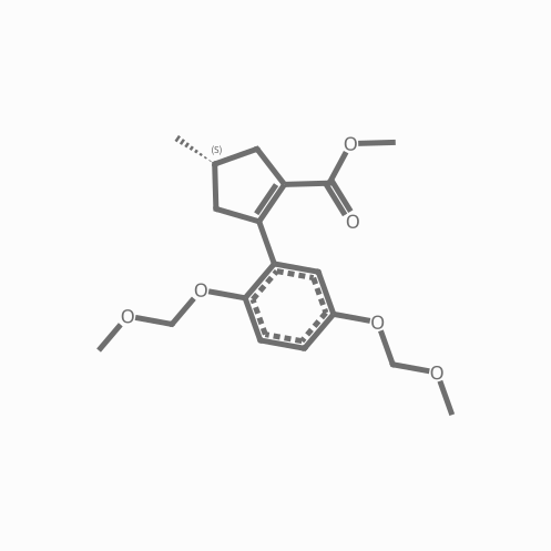 COCOc1ccc(OCOC)c(C2=C(C(=O)OC)C[C@@H](C)C2)c1